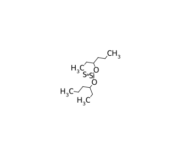 CCCC(CC)O[Si](=S)OC(CC)CCC